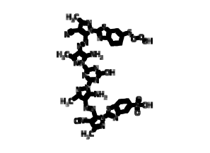 [C-]#[N+]c1c(C)nn(-c2nc3cc(S(=O)(=O)O)ccc3s2)c1N=Nc1c(C)nn(-c2nc(O)nc(-n3nc(C)c(N=Nc4c(C#N)c(C)nn4-c4nc5ccc(SOOO)cc5s4)c3N)n2)c1N